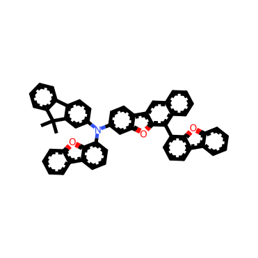 CC1(C)c2ccccc2-c2ccc(N(c3ccc4c(c3)oc3c(-c5cccc6c5oc5ccccc56)c5ccccc5cc34)c3cccc4c3oc3ccccc34)cc21